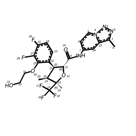 Cc1nnn2ccc(NC(=O)[C@@H]3O[C@@](C)(C(F)(F)F)[C@@H](C)[C@H]3c3ccc(F)c(F)c3OCCO)cc12